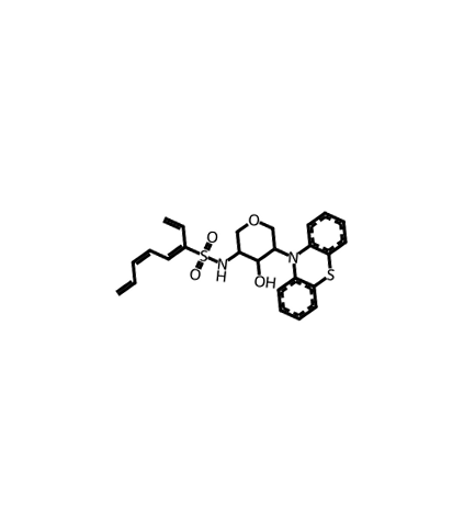 C=C/C=C\C=C(/C=C)S(=O)(=O)NC1COCC(N2c3ccccc3Sc3ccccc32)C1O